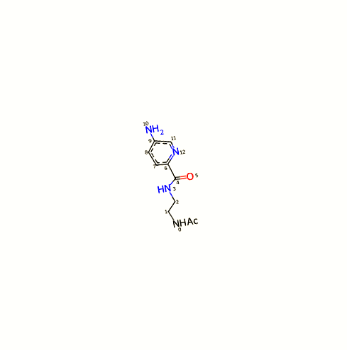 CC(=O)NCCNC(=O)c1ccc(N)cn1